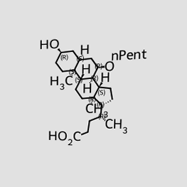 CCCCCO[C@@H]1C[C@@H]2C[C@H](O)CC[C@]2(C)[C@H]2CC[C@]3(C)[C@@H]([C@H](C)CCC(=O)O)CC[C@H]3[C@H]12